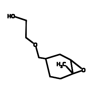 CC12CCC(COCCO)CC1O2